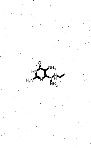 CCNN(N)c1nc(N)[nH]c(=O)c1N